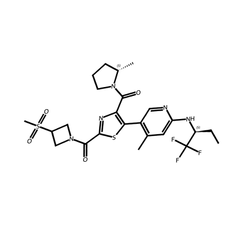 CC[C@H](Nc1cc(C)c(-c2sc(C(=O)N3CC(S(C)(=O)=O)C3)nc2C(=O)N2CCC[C@@H]2C)cn1)C(F)(F)F